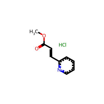 COC(=O)C=Cc1ccccn1.Cl